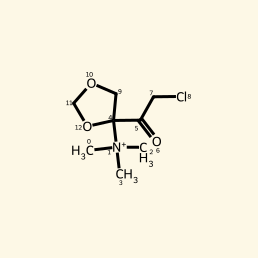 C[N+](C)(C)C1(C(=O)CCl)COCO1